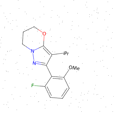 COc1cccc(F)c1-c1nn2c(c1C(C)C)OCCC2